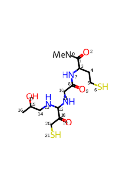 CNC(=O)C(CCS)NC(=O)CNC(NCC(C)O)C(=O)CS